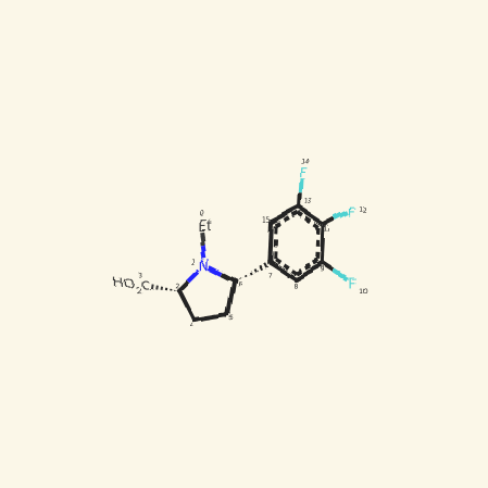 CCN1[C@@H](C(=O)O)CC[C@H]1c1cc(F)c(F)c(F)c1